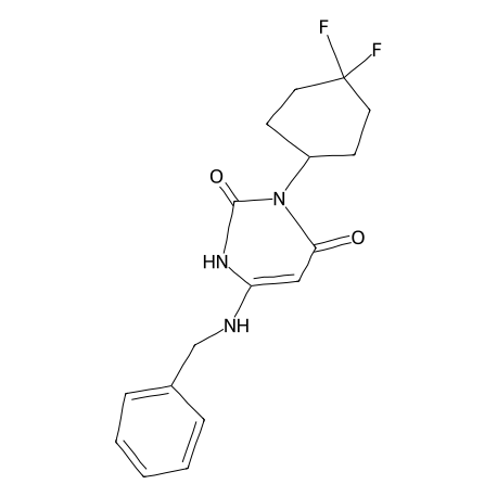 O=c1cc(NCc2ccccc2)[nH]c(=O)n1C1CCC(F)(F)CC1